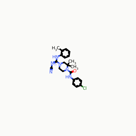 Cc1ccccc1N/C(=N/C#N)N1CCN(C(=O)Nc2ccc(Cl)cc2)C(C)(C)C1